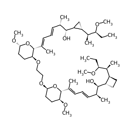 CC[C@H](OC)[C@@H](C)[C@H]1CC1[C@H](O)[C@@H](C)/C=C/C=C(\C)[C@H]1O[C@@H](OC)CC[C@@H]1OCCO[C@@H]1CC[C@H](OC)[C@@H](/C(C)=C/C=C/[C@H](C)[C@@H](O)[C@H]2CC[C@@H]2[C@H](C)[C@H](CC)OC)O1